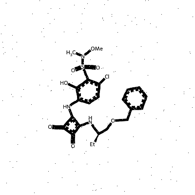 CC[C@H](COCc1ccccc1)Nc1c(Nc2ccc(Cl)c(S(=O)(=O)N(C)OC)c2O)c(=O)c1=O